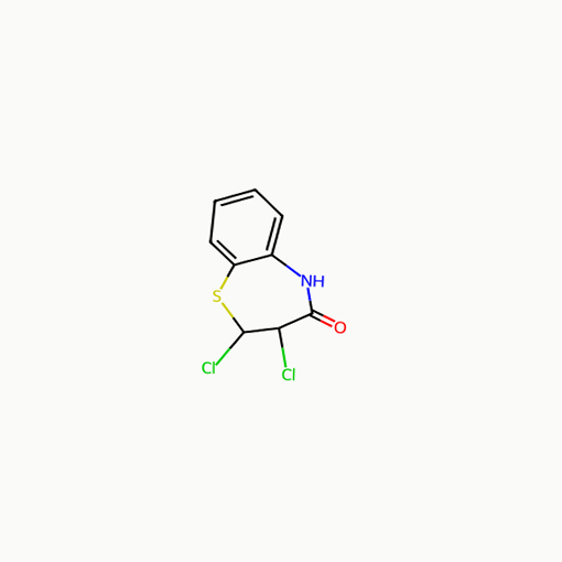 O=C1Nc2ccccc2SC(Cl)C1Cl